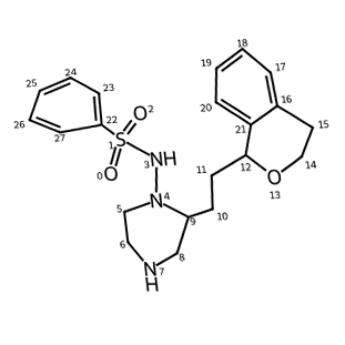 O=S(=O)(NN1CCNCC1CCC1OCCc2ccccc21)c1ccccc1